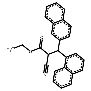 CCOC(=O)C(C#N)C(c1ccc2ccccc2c1)c1cccc2ccccc12